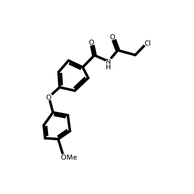 COc1ccc(Oc2ccc(C(=O)NC(=O)CCl)cc2)cc1